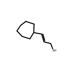 SCC=CC1CCCCCC1